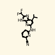 CC(C)c1cc(Nc2cccc(C#N)n2)nc2[nH]c(C(F)F)nc12